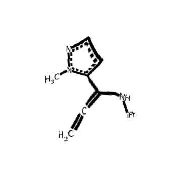 C=C=C(NC(C)C)c1ccnn1C